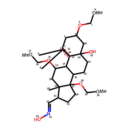 COCOC1CC2OC(C)(C)OCC23C2C(OCOC)CC4(C)C(C=NO)CCC4(OCOC)C2CCC3(O)C1